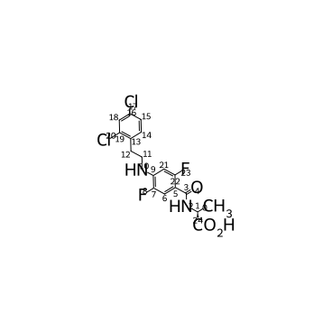 C[C@H](NC(=O)c1cc(F)c(NCCc2ccc(Cl)cc2Cl)cc1F)C(=O)O